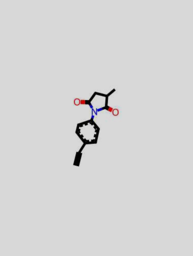 C#Cc1ccc(N2C(=O)CC(C)C2=O)cc1